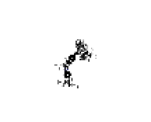 COP(=O)(CN(CCc1ccc(O[PH](=S)N(C)/N=C/c2ccc(OP(P)P)cc2)cc1)C[PH](O)(OC)OC)OC